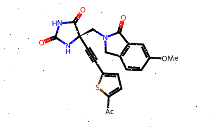 COc1ccc2c(c1)C(=O)N(C[C@@]1(C#Cc3ccc(C(C)=O)s3)NC(=O)NC1=O)C2